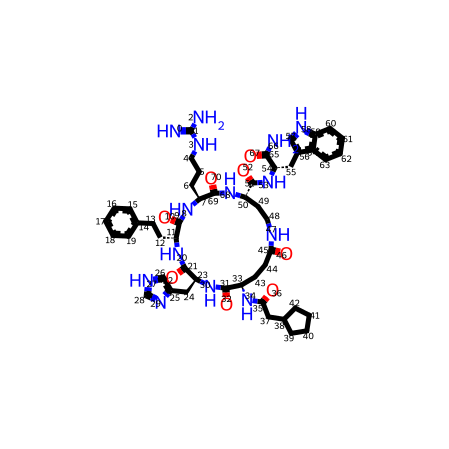 N=C(N)NCCC[C@@H]1NC(=O)[C@@H](CCc2ccccc2)NC(=O)[C@H](Cc2c[nH]cn2)NC(=O)[C@@H](NC(=O)CC2CCCC2)CCC(=O)NCC[C@@H](C(=O)N[C@@H](Cc2c[nH]c3ccccc23)C(N)=O)NC1=O